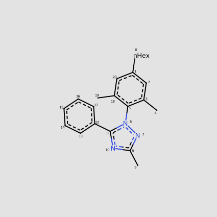 CCCCCCc1cc(C)c(-n2nc(C)nc2-c2ccccc2)c(C)c1